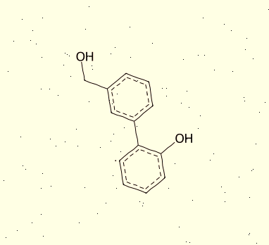 OCc1cccc(-c2[c]cccc2O)c1